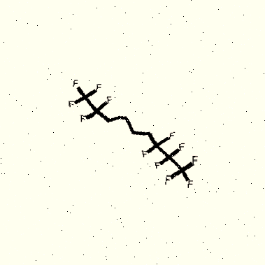 FC(F)(F)C(F)(F)CCC[CH]C(F)(F)C(F)(F)C(F)(F)F